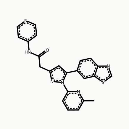 Cc1cccc(-n2nc(CC(=O)Nc3ccncc3)cc2-c2ccc3ncsc3c2)n1